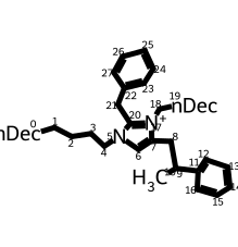 CCCCCCCCCCCCCCn1cc(CC(C)c2ccccc2)[n+](CCCCCCCCCCC)c1Cc1ccccc1